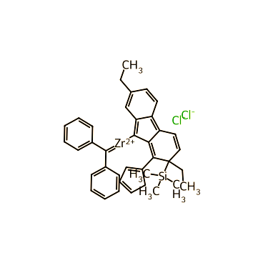 CCc1ccc2c(c1)=[C]([Zr+2]=[C](c1ccccc1)c1ccccc1)C1=C(C3=CC=CC3)C(CC)([Si](C)(C)C)C=CC=21.[Cl-].[Cl-]